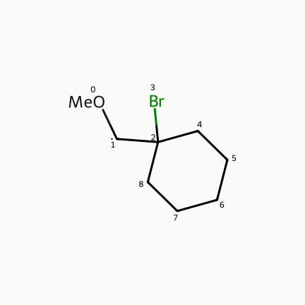 CO[CH]C1(Br)CCCCC1